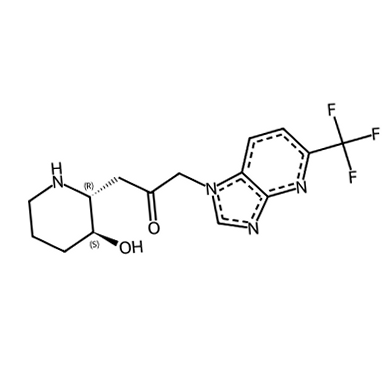 O=C(C[C@H]1NCCC[C@@H]1O)Cn1cnc2nc(C(F)(F)F)ccc21